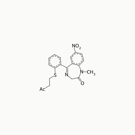 CC(=O)CCSc1ccccc1C1=NCC(=O)N(C)c2ccc([N+](=O)[O-])cc21